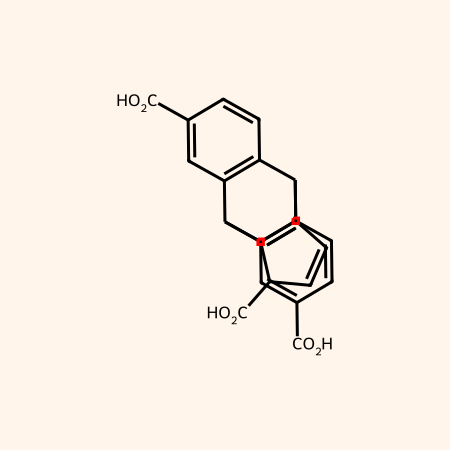 O=C(O)c1ccc2c(c1)C1C3=C(C=CC3C(=O)O)C2c2ccc(C(=O)O)cc21